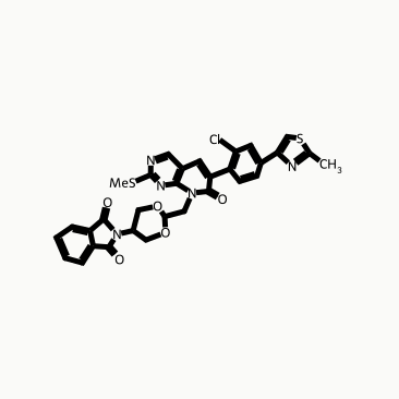 CSc1ncc2cc(-c3ccc(-c4csc(C)n4)cc3Cl)c(=O)n(CC3OCC(N4C(=O)c5ccccc5C4=O)CO3)c2n1